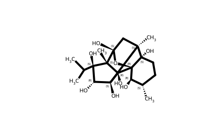 CC(C)[C@@]1(O)[C@@H](O)[C@@]2(O)[C@@]3(C)C[C@]4(O)O[C@@]5([C@H](O)[C@@H](C)CC[C@]35O)[C@@]2(O)[C@]14C